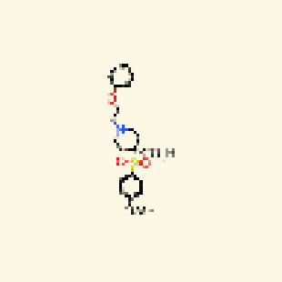 COc1ccc(S(=O)(=O)C2(C(=O)O)CCN(CCOc3ccccc3)CC2)cc1